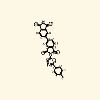 Cc1ccc(-c2nnc(N3C(=O)c4ccc(-c5ccc6c(c5)C(=O)CC6=O)cc4C3=O)o2)cc1